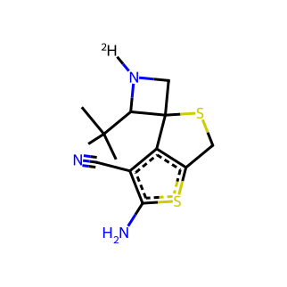 [2H]N1CC2(SCc3sc(N)c(C#N)c32)C1C(C)(C)C